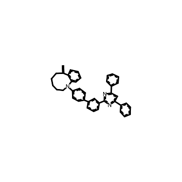 C=C1CCCCCN(c2ccc(-c3cccc(-c4nc(-c5ccccc5)cc(-c5ccccc5)n4)c3)cc2)c2ccccc21